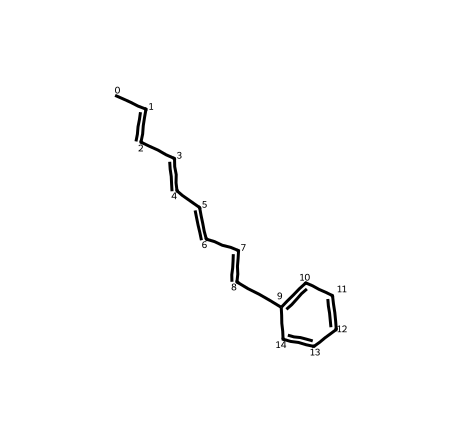 CC=CC=CC=CC=Cc1ccccc1